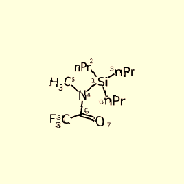 CCC[Si](CCC)(CCC)N(C)C(=O)C(F)(F)F